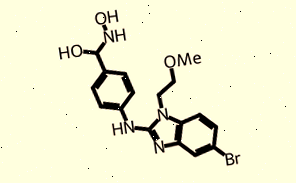 COCCn1c(Nc2ccc(C(O)NO)cc2)nc2cc(Br)ccc21